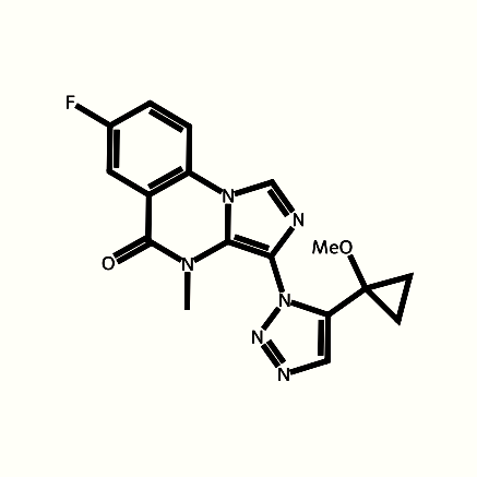 COC1(c2cnnn2-c2ncn3c4ccc(F)cc4c(=O)n(C)c23)CC1